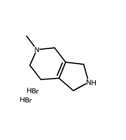 Br.Br.CN1CCC2=C(CNC2)C1